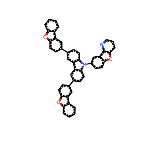 c1ccc2c(c1)oc1ccc(-c3ccc4c(c3)c3cc(-c5ccc6oc7ccccc7c6c5)ccc3n4-c3ccc4oc5cccnc5c4c3)cc12